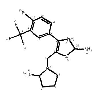 CC1CCCN1CC1=C(c2ccc(F)c(C(F)(F)F)c2)NC(N)S1